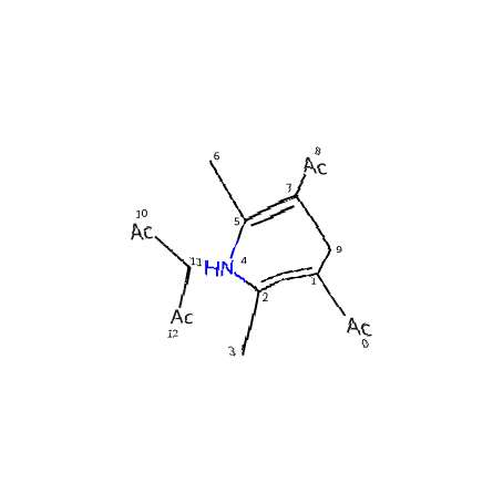 CC(=O)C1=C(C)NC(C)=C(C(C)=O)C1.CC(=O)CC(C)=O